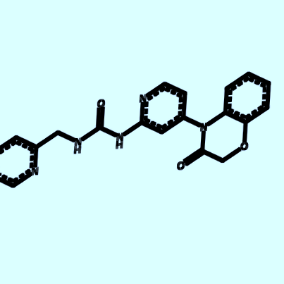 O=C(NCc1ccccn1)Nc1cc(N2C(=O)COc3ccccc32)ccn1